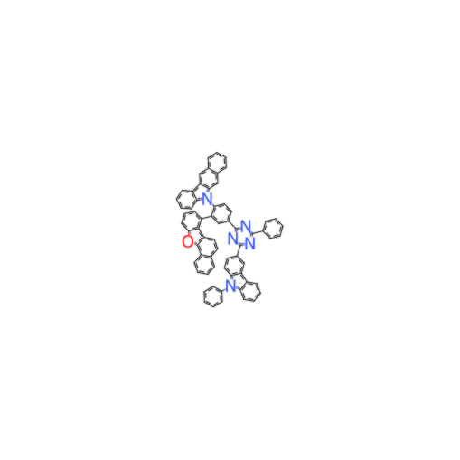 c1ccc(-c2nc(-c3ccc(-n4c5ccccc5c5cc6ccccc6cc54)c(-c4cccc5oc6c7ccccc7ccc6c45)c3)nc(-c3ccc4c(c3)c3ccccc3n4-c3ccccc3)n2)cc1